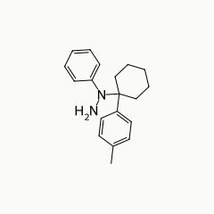 Cc1ccc(C2(N(N)c3ccccc3)CCCCC2)cc1